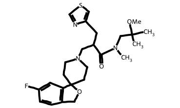 COC(C)(C)CN(C)C(=O)C(Cc1cscn1)CN1CCC2(CC1)OCc1ccc(F)cc12